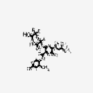 Cc1cc(Cl)ncc1NC(=O)c1nc(Cl)c(N(C)CC(C)C)nc1N.O=C(O)C(F)(F)F.O=C(O)C(F)(F)F